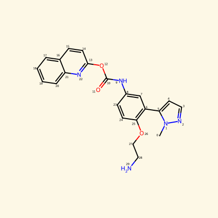 Cn1nccc1-c1cc(NC(=O)Oc2ccc3ccccc3n2)ccc1OCCN